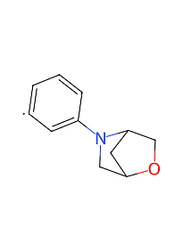 [c]1cccc(N2CC3CC2CO3)c1